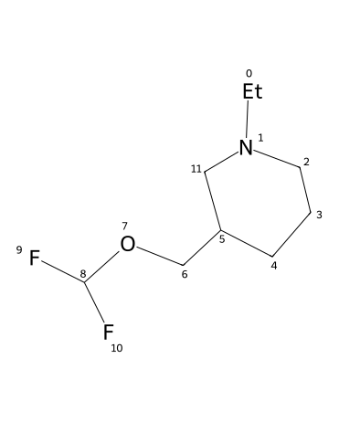 CCN1CCCC(COC(F)F)C1